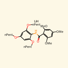 CCCCCOc1cc(OCCCCC)c(PC(=O)c2c(OC)cc(OC)cc2OC)c(OCCCCC)c1.[LiH]